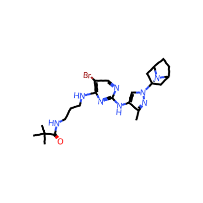 Cc1nn(C2CC3CCC(C2)N3C)cc1Nc1ncc(Br)c(NCCCNC(=O)C(C)(C)C)n1